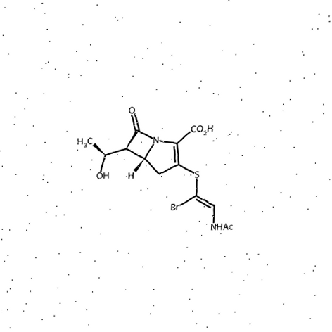 CC(=O)NC=C(Br)SC1=C(C(=O)O)N2C(=O)[C@H]([C@H](C)O)[C@H]2C1